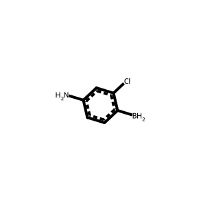 Bc1ccc(N)cc1Cl